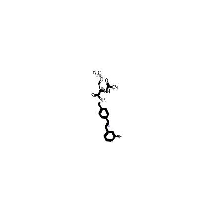 COC[C@@H](NC(C)=O)C(=O)NCc1ccc(/C=C/c2cccc(F)c2)cc1